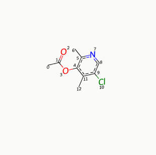 CC(=O)Oc1c(C)ncc(Cl)c1C